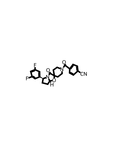 N#Cc1ccc(C(=O)N2CCC3(CC2)O[C@@H]2CC[C@@H](c4cc(F)cc(F)c4)N2C3=O)cc1